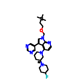 C[Si](C)(C)CCOCn1cc(-c2cncnc2)c2c(N3CCC[C@H](N4CCC(F)CC4)C3)ccnc21